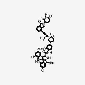 COc1cc([C@@H]2CCCN(C(C)(C)C#Cc3cccc4c3CN(C3CCC(=O)NC3=O)C4=O)C2)ccc1NC(=O)[C@@H]1N[C@@H](CC(C)(C)C)[C@@]2(CNc3cc(Cl)ccc32)[C@H]1c1cccc(Cl)c1F